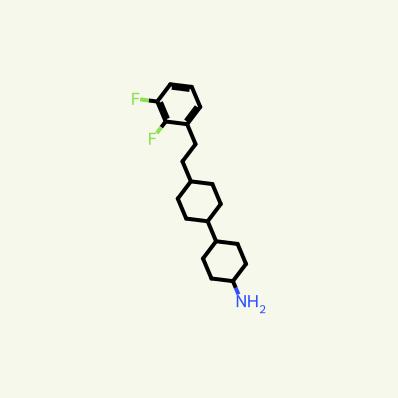 NC1CCC(C2CCC(CCc3cccc(F)c3F)CC2)CC1